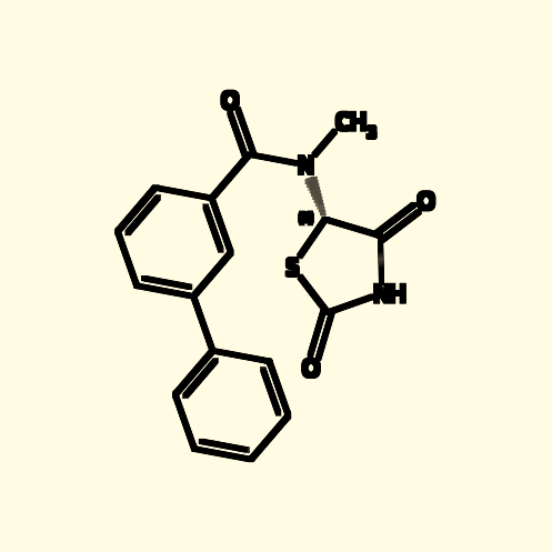 CN(C(=O)c1cccc(-c2ccccc2)c1)[C@H]1SC(=O)NC1=O